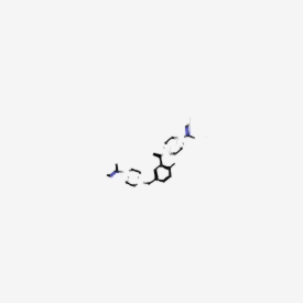 C=C(c1cc(CN2CCN(/C(C)=C/CC)CC2)ccc1C)N1CCN(/C(=C/CC)C(C)C)CC1